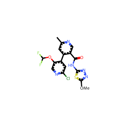 COc1nnc(NC(=O)c2cnc(C)cc2-c2cc(Cl)ncc2OC(F)F)s1